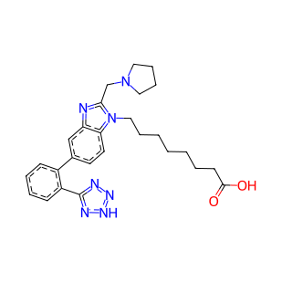 O=C(O)CCCCCCCn1c(CN2CCCC2)nc2cc(-c3ccccc3-c3nn[nH]n3)ccc21